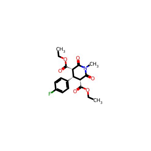 CCOC(=O)[C@@H]1C(=O)N(C)C(=O)[C@H](C(=O)OCC)[C@@H]1c1ccc(F)cc1